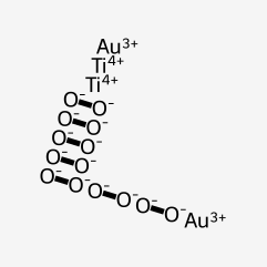 [Au+3].[Au+3].[O-][O-].[O-][O-].[O-][O-].[O-][O-].[O-][O-].[O-][O-].[O-][O-].[Ti+4].[Ti+4]